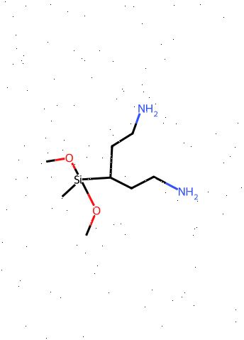 CO[Si](C)(OC)C(CCN)CCN